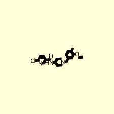 CCOc1cc(CN2CCC(NC(=O)c3ccc(Cl)nc3)CC2)ccc1C